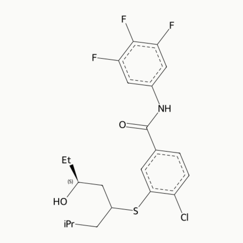 CC[C@H](O)CC(CC(C)C)Sc1cc(C(=O)Nc2cc(F)c(F)c(F)c2)ccc1Cl